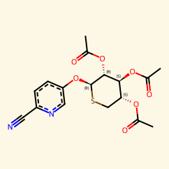 CC(=O)O[C@@H]1[C@@H](OC(C)=O)[C@H](OC(C)=O)CS[C@H]1Oc1ccc(C#N)nc1